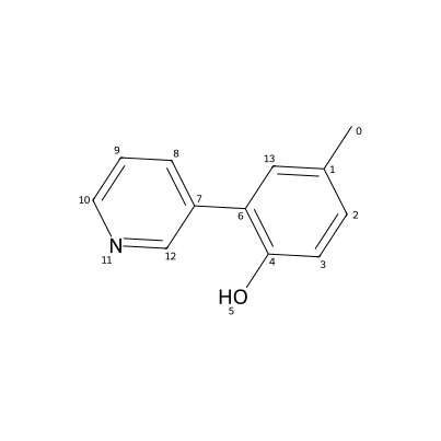 Cc1ccc(O)c(-c2cccnc2)c1